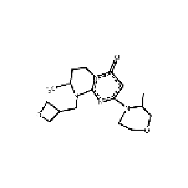 CC1COCCN1c1cc(=O)n2c(n1)N(CC1COC1)C(C(F)(F)F)CC2